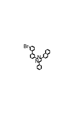 Brc1cccc(-c2cccc(-c3nc(-c4ccccc4)cc(-c4ccc5ccccc5c4)n3)c2)c1